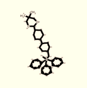 CC1(C)COC(C2CCC(C3CCC(CP(I)(c4ccccc4)(c4ccccc4)c4ccccc4)CC3)CC2)OC1